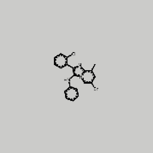 Cc1cc(Br)cn2c(Nc3ccccc3)c(-c3ccccc3Cl)nc12